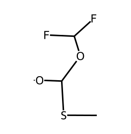 CSC([O])OC(F)F